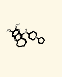 Oc1cc2nc3c(c(NC4CCN(C5CCCC5)CC4)c2nc1O)CCCCC3